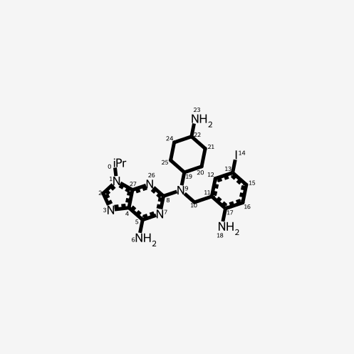 CC(C)n1cnc2c(N)nc(N(Cc3cc(I)ccc3N)C3CCC(N)CC3)nc21